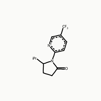 CC(C)C1CCC(=O)N1c1ccc(C(F)(F)F)cn1